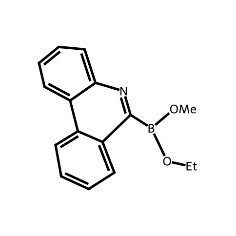 CCOB(OC)c1nc2ccccc2c2ccccc12